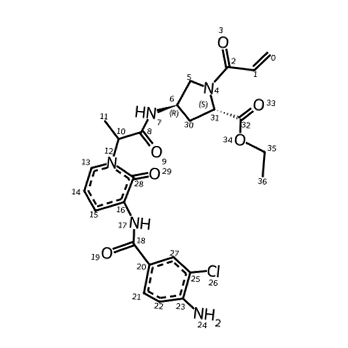 C=CC(=O)N1C[C@H](NC(=O)C(C)n2cccc(NC(=O)c3ccc(N)c(Cl)c3)c2=O)C[C@H]1C(=O)OCC